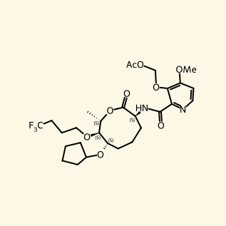 COc1ccnc(C(=O)N[C@H]2CCC[C@H](OC3CCCC3)[C@@H](OCCCC(F)(F)F)[C@H](C)OC2=O)c1OCOC(C)=O